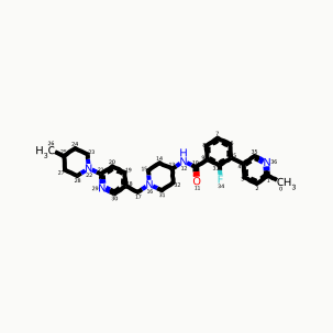 Cc1ccc(-c2cccc(C(=O)NC3CCN(Cc4ccc(N5CCC(C)CC5)nc4)CC3)c2F)cn1